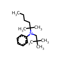 CCCCC(C)(C)N(CC(C)(C)C)c1ccccc1